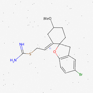 COC1CCC2(Cc3cc(Br)ccc3O2)/C(=C/CSC(=N)N)C1